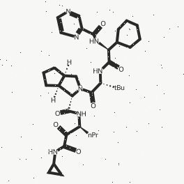 CCC[C@H](NC(=O)[C@@H]1[C@H]2CCC[C@H]2CN1C(=O)[C@H](NC(=O)[C@@H](NC(=O)c1cnccn1)C1CCCCC1)C(C)(C)C)C(=O)C(=O)NC1CC1